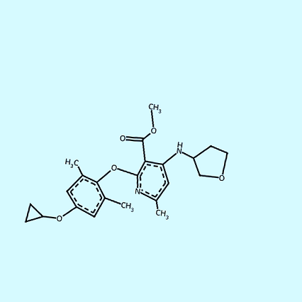 COC(=O)c1c(NC2CCOC2)cc(C)nc1Oc1c(C)cc(OC2CC2)cc1C